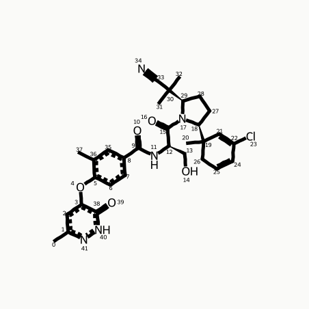 Cc1cc(Oc2ccc(C(=O)N[C@H](CO)C(=O)N3[C@H](C4(C)C=C(Cl)C=CC4)CC[C@@H]3C(C)(C)C#N)cc2C)c(=O)[nH]n1